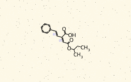 CCC(C)OC(=O)/C=C(/C=C/c1ccccc1)C(=O)O